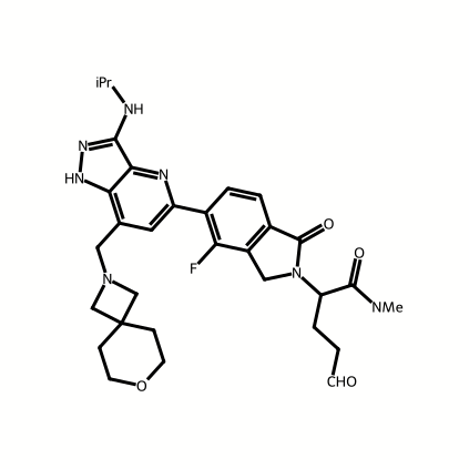 CNC(=O)C(CCC=O)N1Cc2c(ccc(-c3cc(CN4CC5(CCOCC5)C4)c4[nH]nc(NC(C)C)c4n3)c2F)C1=O